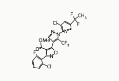 COC(=O)c1c(-c2c(F)cccc2Cl)noc1-c1cnn(-c2ncc(C(C)(F)F)cc2Cl)c1C(F)(F)F